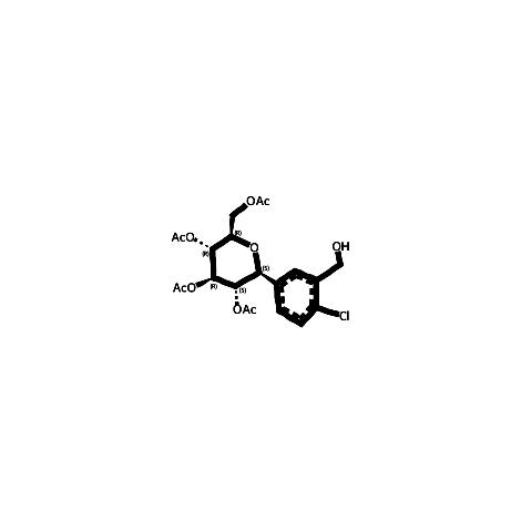 CC(=O)OC[C@H]1O[C@@H](c2ccc(Cl)c(CO)c2)[C@H](OC(C)=O)[C@@H](OC(C)=O)[C@@H]1OC(C)=O